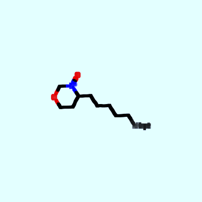 CCCCCCCCCCCCC1CCOC[N+]1=O